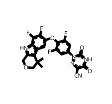 CC1(C)COCc2[nH]c3c(F)c(F)c(Oc4c(F)cc(-n5nc(C#N)c(=O)[nH]c5=O)cc4F)cc3c21